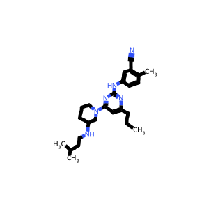 CCCc1cc(N2CCCC(NCCC(C)C)C2)nc(Nc2ccc(C)c(C#N)c2)n1